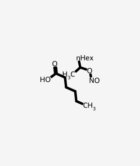 CCCCCC(=O)O.CCCCCCC(C)ON=O